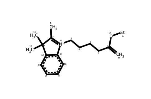 C=C(CCCC[N+]1=C(C)C(C)(C)c2ccccc21)OCC